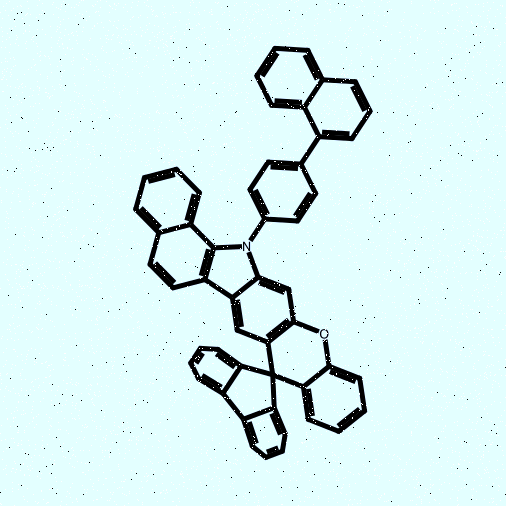 c1ccc2c(c1)Oc1cc3c(cc1C21c2ccccc2-c2ccccc21)c1ccc2ccccc2c1n3-c1ccc(-c2cccc3ccccc23)cc1